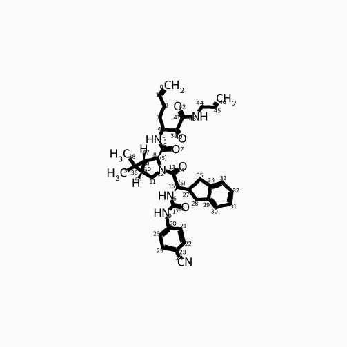 C=CCCC(NC(=O)[C@@H]1[C@@H]2[C@H](CN1C(=O)[C@@H](NC(=O)Nc1ccc(C#N)cc1)C1Cc3ccccc3C1)C2(C)C)C(=O)C(=O)NCC=C